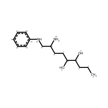 CCCC(O)C(O)CCC(N)CNc1ccccc1